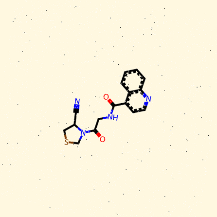 N#CC1CSCN1C(=O)CNC(=O)c1ccnc2ccccc12